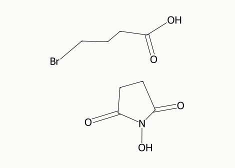 O=C(O)CCCBr.O=C1CCC(=O)N1O